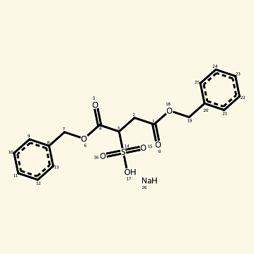 O=C(CC(C(=O)OCc1ccccc1)S(=O)(=O)O)OCc1ccccc1.[NaH]